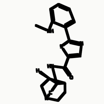 CNc1ccccc1-c1ncc(C(=O)N[C@H]2CN3CCC2CC3)s1